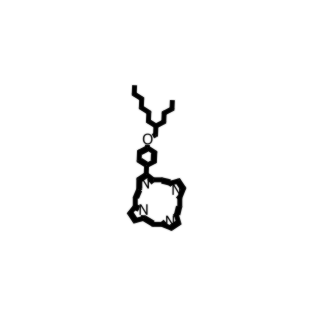 CCCCCCC(CCCC)COc1ccc(C2=CC3=CC4=NC(=CC5=NC(=CC6=NC(=CC2=N3)C=C6)C=C5)C=C4)cc1